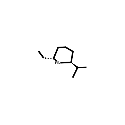 CC[C@@H]1CCC[C@@H](C(C)C)N1